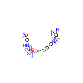 Cc1ncoc1-c1ccc(CNC(=O)[C@@H]2CCCN2C(=O)C(NC(=O)COCCCCOc2ccc(-c3ccc(N4C(=S)N(c5ccc(C#N)c(C(F)(F)F)c5)C(=O)C45CCC5)cc3)cc2)C(C)(C)C)cc1